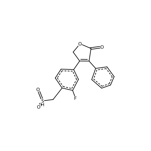 O=C1OCC(c2ccc(C[SH](=O)=O)c(F)c2)=C1c1ccccc1